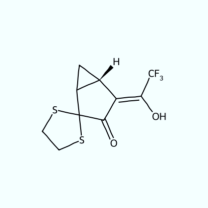 O=C1/C(=C(\O)C(F)(F)F)[C@H]2CC2C12SCCS2